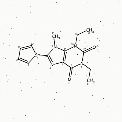 CCn1c(=O)c2nc([SH]3C=CC=C3)n(C)c2n(CC)c1=O